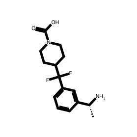 C[C@@H](N)c1cccc(C(F)(F)C2CCN(C(=O)O)CC2)c1